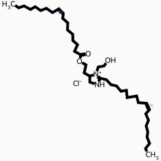 CCCCCCCC/C=C\CCCCCCCCC1=[N+](CCO)C(CCOC(=O)CCCCCCC/C=C\CCCCCCCC)CN1.[Cl-]